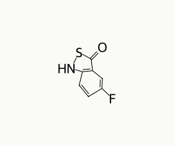 O=c1s[nH]c2ccc(F)cc12